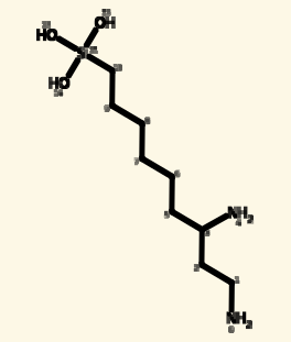 NCCC(N)CCCCCC[Si](O)(O)O